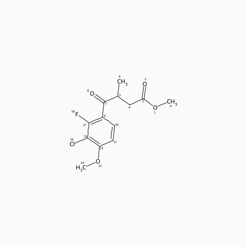 COC(=O)CC(C)C(=O)c1ccc(OC)c(Cl)c1F